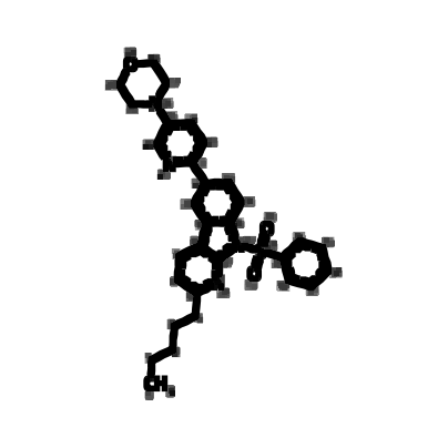 CCCCCc1ccc2c3cc(-c4ccc(N5CCOCC5)cn4)ccc3n(S(=O)(=O)c3ccccc3)c2n1